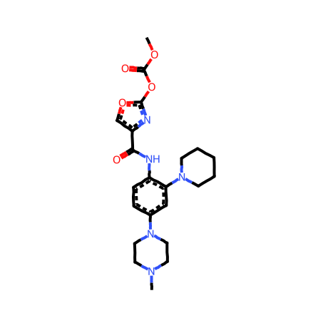 COC(=O)Oc1nc(C(=O)Nc2ccc(N3CCN(C)CC3)cc2N2CCCCC2)co1